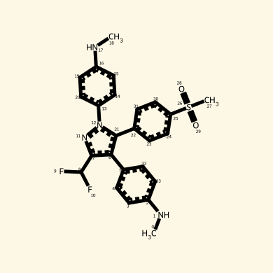 CNc1ccc(-c2c(C(F)F)nn(-c3ccc(NC)cc3)c2-c2ccc(S(C)(=O)=O)cc2)cc1